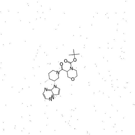 C[C@@H]1CCN(C(=O)C2COCCN2C(=O)OC(C)(C)C)C[C@@H]1N1C=CC23C=NCN2C=CN=C13